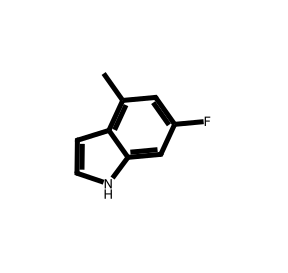 Cc1cc(F)cc2[nH]ccc12